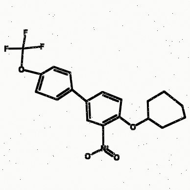 O=[N+]([O-])c1cc(-c2ccc(OC(F)(F)F)cc2)ccc1OC1CCCCC1